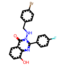 O=c1c2cccc(O)c2nc(-c2ccc(F)cc2)n1NCc1ccc(Br)cc1